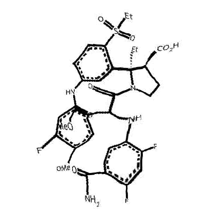 CC[C@]1(c2cc(NC(=O)OC)ccc2S(=O)(=O)CC)[C@@H](C(=O)O)CCN1C(=O)C(Nc1cc(C(N)=O)c(F)cc1F)c1ccc(F)c(OC)c1